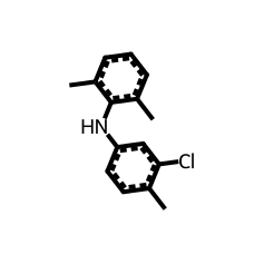 Cc1ccc(Nc2c(C)cccc2C)cc1Cl